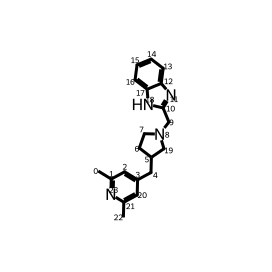 Cc1cc(CC2CCN(Cc3nc4ccccc4[nH]3)C2)cc(C)n1